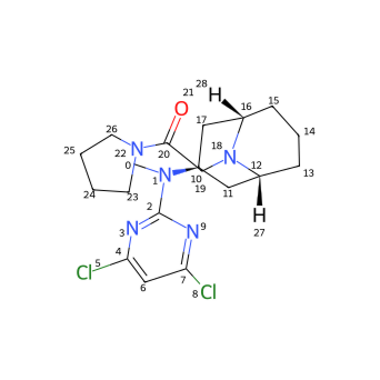 CN(c1nc(Cl)cc(Cl)n1)[C@@H]1C[C@H]2CCC[C@@H](C1)N2CC(=O)N1CCCC1